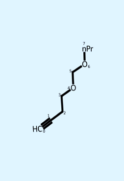 C#CCCOCOCCC